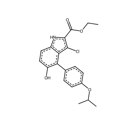 CCOC(=O)c1[nH]c2ccc(O)c(-c3ccc(OC(C)C)cc3)c2c1Cl